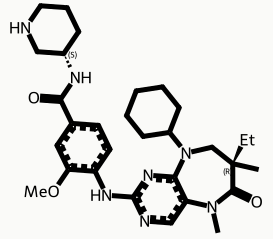 CC[C@]1(C)CN(C2CCCCC2)c2nc(Nc3ccc(C(=O)N[C@H]4CCCNC4)cc3OC)ncc2N(C)C1=O